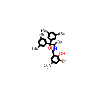 CCC(C)C(N=Cc1cc([N+](=O)[O-])cc(Br)c1O)C(O)(c1cc(C(C)(C)C)cc(C(C)(C)C)c1)c1cc(C(C)(C)C)cc(C(C)(C)C)c1